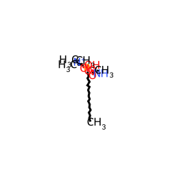 CCCCCCCCCCCCCCCCC(COP(O)OCC[N+](C)(C)C)OC(=O)NC